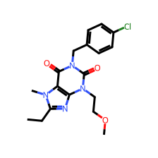 CCc1nc2c(c(=O)n(Cc3ccc(Cl)cc3)c(=O)n2CCOC)n1C